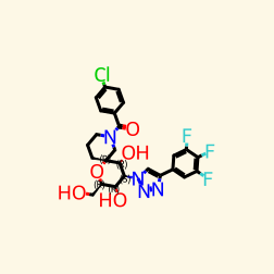 O=C(c1ccc(Cl)cc1)N1CCC[C@]2(C1)O[C@H](CO)[C@H](O)[C@H](n1cc(-c3cc(F)c(F)c(F)c3)nn1)[C@H]2O